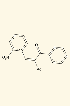 CC(=O)/C(=C/c1ccccc1[N+](=O)[O-])C(=O)c1ccccc1